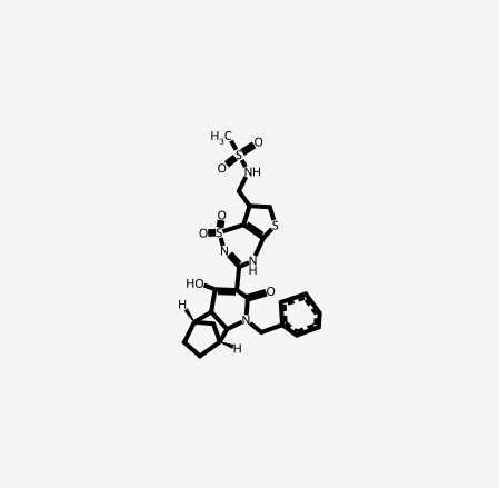 CS(=O)(=O)NCC1CSC2=C1S(=O)(=O)N=C(C1=C(O)C3C([C@@H]4CC[C@H]3C4)N(Cc3ccccc3)C1=O)N2